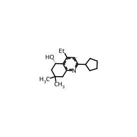 CCc1[c]c(C2CCCC2)nc2c1[C@@H](O)CC(C)(C)C2